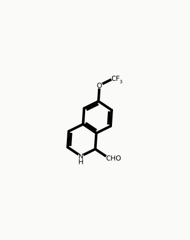 O=CC1NC=Cc2cc(OC(F)(F)F)ccc21